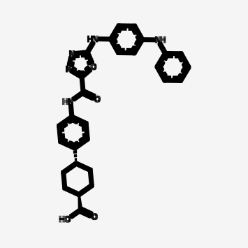 O=C(Nc1ccc([C@H]2CC[C@H](C(=O)O)CC2)cc1)c1nnc(Nc2ccc(Nc3ccccc3)cc2)o1